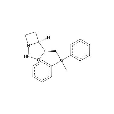 C[Si](C[C@H]1OPN2CC[C@@H]12)(c1ccccc1)c1ccccc1